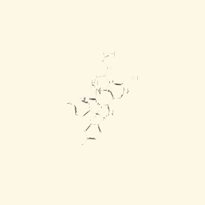 CCOc1cc(C(C)(C)C)ncc1C1=N[C@@](C)(c2ccc(Cl)cc2)C(C)(c2ccc(Cl)cc2)N1C(=O)N1CCC(CCO)CC1